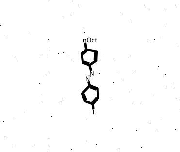 CCCCCCCCc1ccc(N=Nc2ccc(I)cc2)cc1